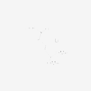 COC(CCCC(=O)C(=O)[O-])OC.[Li+]